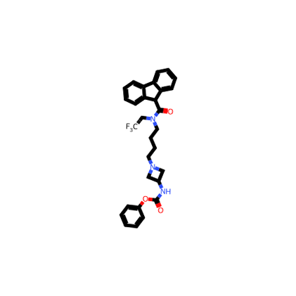 O=C(NC1CN(CCCCN(CC(F)(F)F)C(=O)C2c3ccccc3-c3ccccc32)C1)Oc1ccccc1